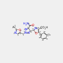 CC(=O)c1ncc(Cn2nc(C(N)=O)c(-c3nc(C(=O)O)c(-c4cccc(C)c4)o3)n2)o1